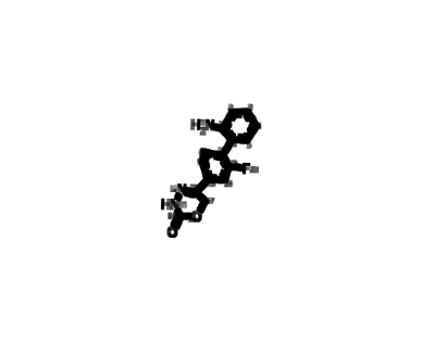 Nc1ccccc1-c1ccc(C2=NNC(=O)OC2)cc1F